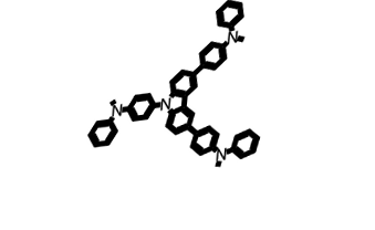 CN(c1ccccc1)c1ccc(-c2ccc3c(c2)c2cc(-c4ccc(N(C)c5ccccc5)cc4)ccc2n3-c2ccc(N(C)c3ccccc3)cc2)cc1